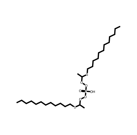 CCCCCCCCCCCCSC(C)OOP(=O)(O)OOC(C)SCCCCCCCCCCCC